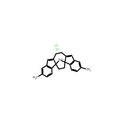 Cc1ccc2c(c1)C=C1CCC3=Cc4cc(C)ccc4[C]34CC[C]12[Zr+2]4.[Cl-].[Cl-]